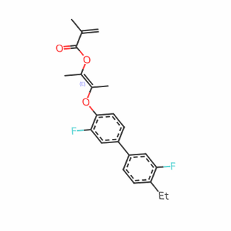 C=C(C)C(=O)O/C(C)=C(\C)Oc1ccc(-c2ccc(CC)c(F)c2)cc1F